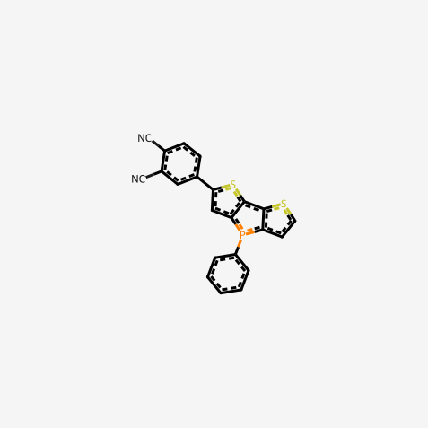 N#Cc1ccc(-c2cc3c(s2)c2sccc2p3-c2ccccc2)cc1C#N